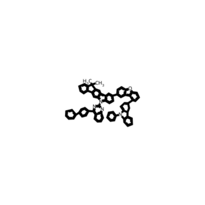 CC1(C)c2ccccc2-c2cc3c(cc21)c1cc(-c2ccc4oc5cccc(C6=CC=C7C(C6)c6ccccc6N7c6ccccc6)c5c4c2)ccc1n3-c1nc(-c2ccc(-c3ccccc3)cc2)c2ccccc2n1